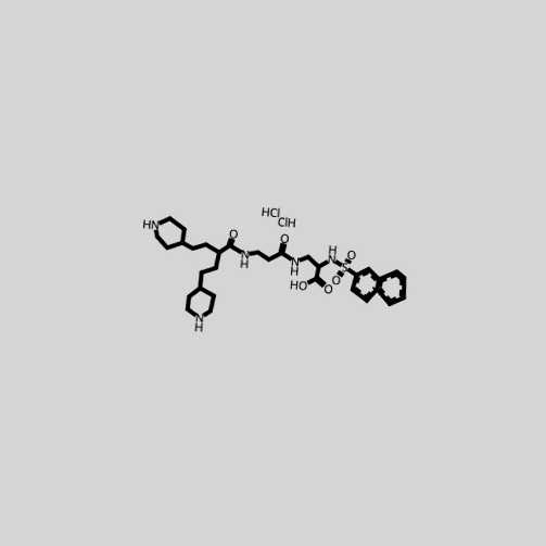 Cl.Cl.O=C(CCNC(=O)C(CCC1CCNCC1)CCC1CCNCC1)NCC(NS(=O)(=O)c1ccc2ccccc2c1)C(=O)O